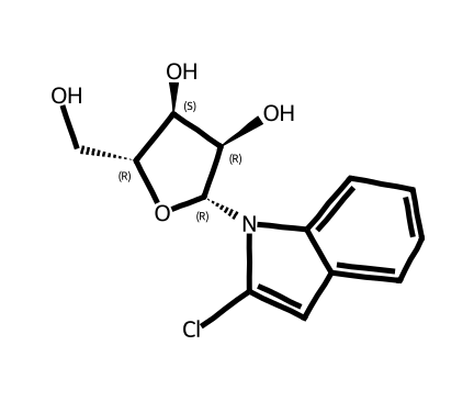 OC[C@H]1O[C@@H](n2c(Cl)cc3ccccc32)[C@H](O)[C@@H]1O